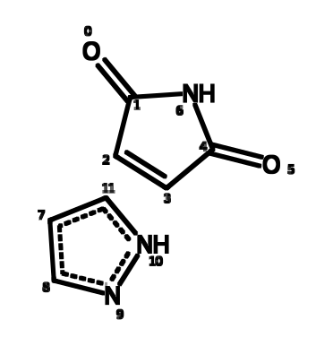 O=C1C=CC(=O)N1.c1cn[nH]c1